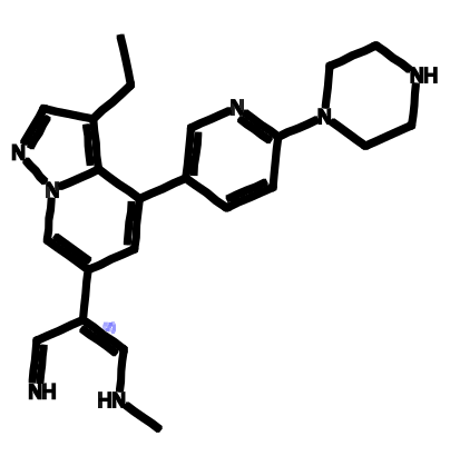 CCc1cnn2cc(/C(C=N)=C/NC)cc(-c3ccc(N4CCNCC4)nc3)c12